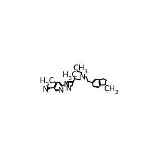 C=C1CCc2cc(CCN(CCC)CC(C)c3cnn(-c4cc(C)c(C#N)cn4)c3)ccc21